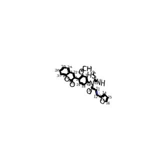 COc1cc(N(C(=N)S)C(=O)/C=C/c2ccco2)ccc1-c1cc2ccccc2oc1=O